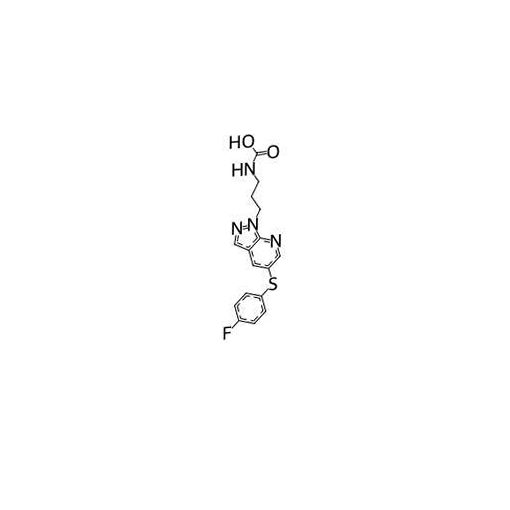 O=C(O)NCCCn1ncc2cc(Sc3ccc(F)cc3)cnc21